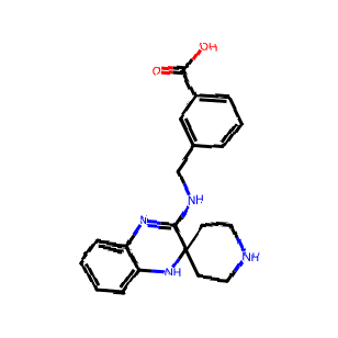 O=C(O)c1cccc(CNC2=Nc3ccccc3NC23CCNCC3)c1